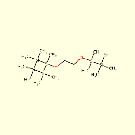 C[Si](C)(C)[Si](C)(C)OCCO[Si]1(C)[Si](C)(C)[Si](C)(C)[Si]1(C)C